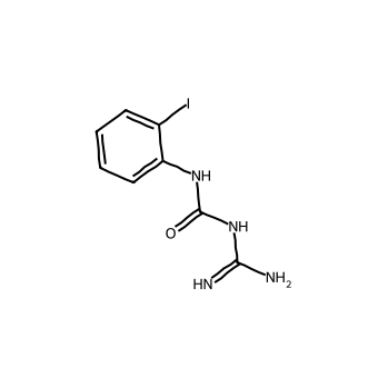 N=C(N)NC(=O)Nc1ccccc1I